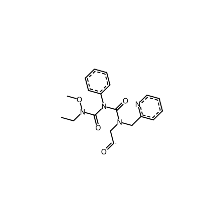 CCN(OC)C(=O)N(C(=O)N(C[C]=O)Cc1ccccn1)c1ccccc1